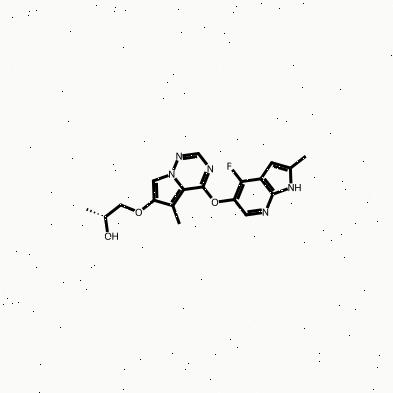 Cc1cc2c(F)c(Oc3ncnn4cc(OC[C@@H](C)O)c(C)c34)cnc2[nH]1